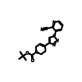 CC(C)(C)OC(=O)N1CC=C(c2cn(-c3cccnc3C#N)nn2)CC1